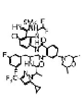 CSNC(=N)c1c(Cl)ccc(-n2c(C(Cc3cc(F)cc(F)c3)NC(=O)C(C)n3nc(C(F)(F)F)cc3C3CC3)nc3cc(N4CC(C)OC(C)C4)ccc3c2=O)c1NCC(F)F